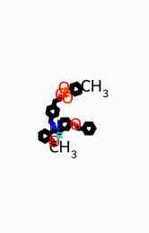 COc1ccccc1-c1c(F)c2cc(OCc3ccccc3)ccc2n1Cc1ccc(CCOS(=O)(=O)c2ccc(C)cc2)cc1